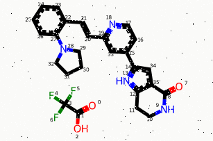 O=C(O)C(F)(F)F.O=C1NCCc2[nH]c(-c3ccnc(/C=C/c4ccccc4N4CCCC4)c3)cc21